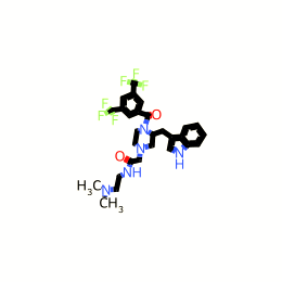 CN(C)CCNC(=O)CN1CCN(C(=O)c2cc(C(F)(F)F)cc(C(F)(F)F)c2)C(Cc2c[nH]c3ccccc23)C1